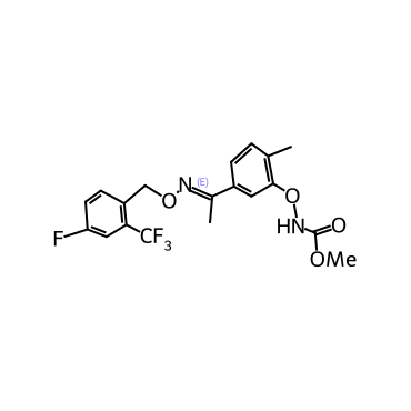 COC(=O)NOc1cc(/C(C)=N/OCc2ccc(F)cc2C(F)(F)F)ccc1C